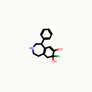 OC1=CC2=C(CCNCC2c2ccccc2)CC1(O)Br